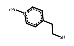 CCC[n+]1ccc(CCS)cc1